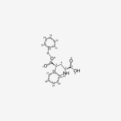 O=C(O)[C@@H]1C[C@H](C(=O)OCc2ccccc2)c2ccccc2N1